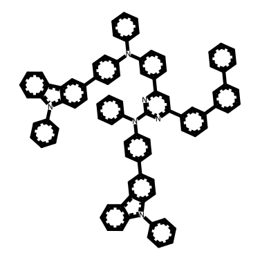 c1ccc(-c2cccc(-c3cccc(-c4cc(-c5cccc(N(c6ccccc6)c6ccc(-c7ccc8c(c7)c7ccccc7n8-c7ccccc7)cc6)c5)nc(N(c5ccccc5)c5ccc(-c6ccc7c(c6)c6ccccc6n7-c6ccccc6)cc5)n4)c3)c2)cc1